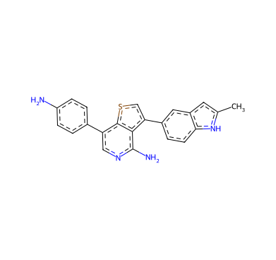 Cc1cc2cc(-c3csc4c(-c5ccc(N)cc5)cnc(N)c34)ccc2[nH]1